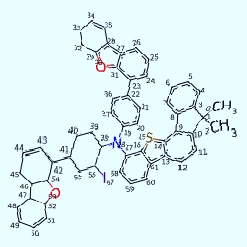 CC1(C)c2ccccc2-c2c1ccc1c2sc2c(N(c3ccc(-c4cccc5c6c(oc45)CCC=C6)cc3)C3CCC(C4C=CCC5C6C=CC=CC6OC45)CC3I)cccc21